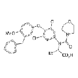 CCC(C(=O)O)N(C(=O)N1CCOCC1)c1cc(Cl)c(Oc2ccc(OC)c(Cc3ccccc3)c2)c(Cl)c1